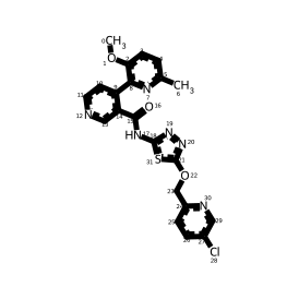 COc1ccc(C)nc1-c1ccncc1C(=O)Nc1nnc(OCc2ccc(Cl)cn2)s1